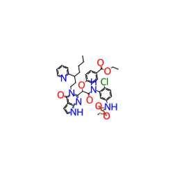 CCCCC(CCn1c(C(Oc2ccc(C(=O)OCC)cc2)C(=O)Nc2cc(NS(C)(=O)=O)ccc2Cl)nc2[nH]ccc2c1=O)c1ccccn1